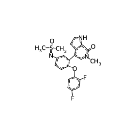 Cn1cc(-c2cc(N=S(C)(C)=O)ccc2Oc2ccc(F)cc2F)c2cc[nH]c2c1=O